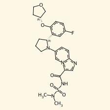 CN(C)S(=O)(=O)NC(=O)c1cnc2ccc(N3CCC[C@@H]3c3cc(F)ccc3O[C@@H]3CCOC3)cn12